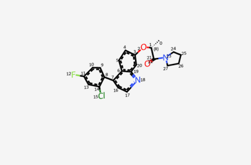 C[C@@H](Oc1ccc2c(-c3ccc(F)cc3Cl)ccnc2c1)C(=O)N1CCCC1